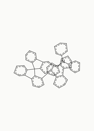 c1ccc(N(c2ccccc2)c2ccc(-c3cccc4c3C3(c5ccccc5-c5cc6c7ccccc7c7ccccc7c6cc53)c3ccccc3-4)cc2)cc1